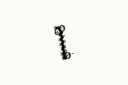 CCS(=O)(=O)CCCCCCCCCC[S+](C)[O-]